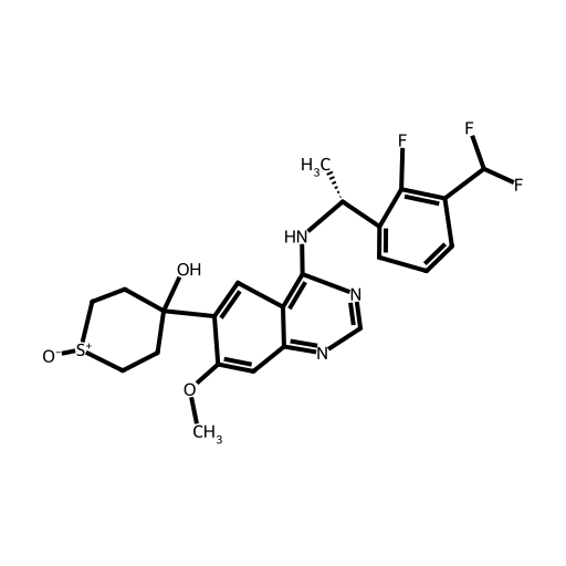 COc1cc2ncnc(N[C@H](C)c3cccc(C(F)F)c3F)c2cc1C1(O)CC[S+]([O-])CC1